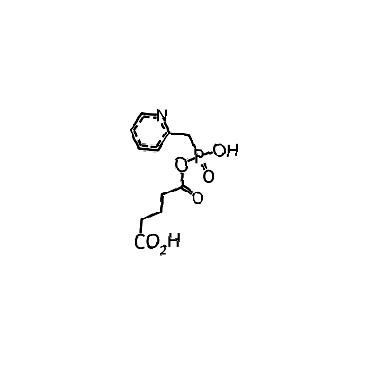 O=C(O)CCCC(=O)OP(=O)(O)Cc1ccccn1